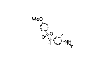 COc1ccc(S(=O)(=O)Nc2ccc(NC(C)C)c(C)c2)cc1